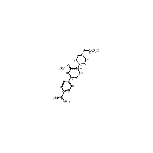 Cl.N=C(N)c1ccc(N2CCN(C3CCN(CC(=O)O)CC3)C(=O)C2)cc1